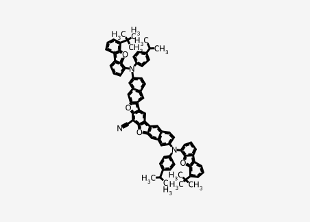 CC(C)c1ccc(N(c2ccc3cc4c(cc3c2)oc2c(C#N)c3oc5cc6cc(N(c7ccc(C(C)C)cc7)c7cccc8c7oc7c(C(C)(C)C)cccc78)ccc6cc5c3cc24)c2cccc3c2oc2c(C(C)(C)C)cccc23)cc1